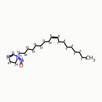 CCCCCCCC/C=C\CCCCCCCC[N+]1(N=O)C=NCC1